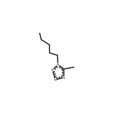 CCCCCn1nnnc1C